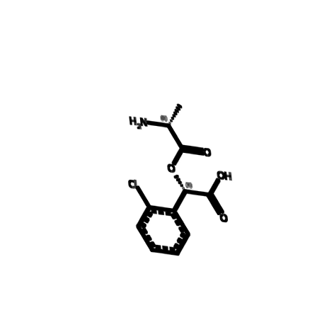 C[C@@H](N)C(=O)O[C@H](C(=O)O)c1ccccc1Cl